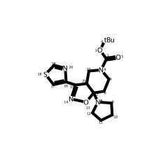 CC(C)(C)OC(=O)N1CCC2(N3CCCC3)ON=C(c3cscn3)C2C1